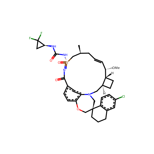 CO[C@H]1/C=C/C[C@H](C)C[S@@](=O)(NC(=O)N[C@H]2CC2(F)F)=NC(=O)c2ccc3c(c2)N(C[C@@H]2CC[C@H]21)C[C@@]1(CCCc2cc(Cl)ccc21)CO3